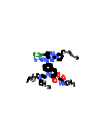 CNC(=O)COc1cc2cc(Nc3nc(N4CCCC(C)C4)ncc3Cl)ccc2n(CCN(C)C)c1=O